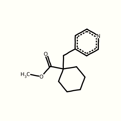 COC(=O)C1(Cc2ccncc2)CCCCC1